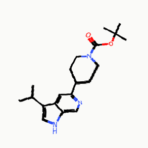 CC(C)c1c[nH]c2cnc(C3CCN(C(=O)OC(C)(C)C)CC3)cc12